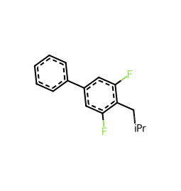 CC(C)Cc1c(F)cc(-c2ccccc2)cc1F